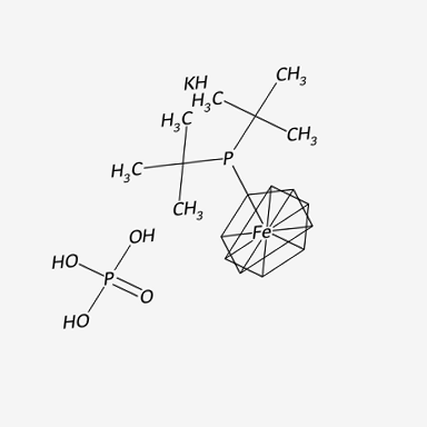 CC(C)(C)P(C(C)(C)C)[C]12[CH]3[CH]4[CH]5[CH]1[Fe]45321678[CH]2[CH]1[CH]6[CH]7[CH]28.O=P(O)(O)O.[KH]